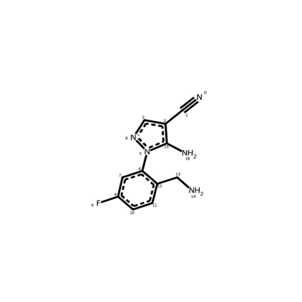 N#Cc1cnn(-c2cc(F)ccc2CN)c1N